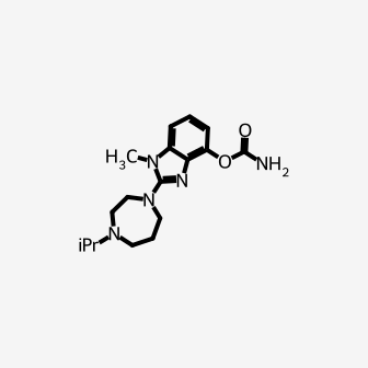 CC(C)N1CCCN(c2nc3c(OC(N)=O)cccc3n2C)CC1